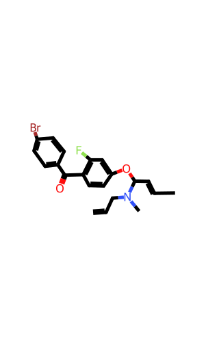 C=CCN(C)C(/C=C/C)Oc1ccc(C(=O)c2ccc(Br)cc2)c(F)c1